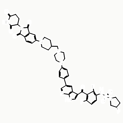 O=C1CCC(N2C(=O)c3ccc(N4CCC(CN5CCN(c6ccc(-c7cnc8[nH]cc(C(=O)c9c(F)ccc(NS(=O)(=O)N%10CC[C@@H](F)C%10)c9F)c8c7)cc6)CC5)CC4)cc3C2=O)C(=O)N1